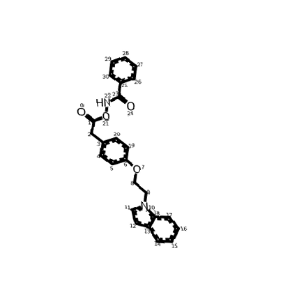 O=C(Cc1ccc(OCCn2ccc3ccccc32)cc1)ONC(=O)c1ccccc1